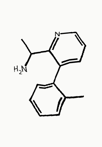 Cc1ccccc1-c1cccnc1C(C)N